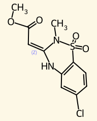 COC(=O)/C=C1/Nc2cc(Cl)ccc2S(=O)(=O)N1C